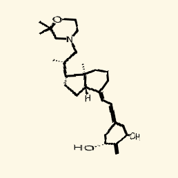 C=C1[C@H](O)CC(=C/C=C2\CCC[C@]3(C)[C@@H]([C@H](C)CN4CCOC(C)(C)C4)CC[C@@H]23)C[C@H]1O